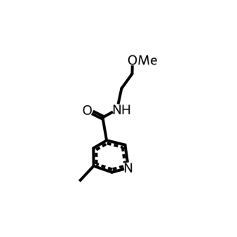 COCCNC(=O)c1cncc(C)c1